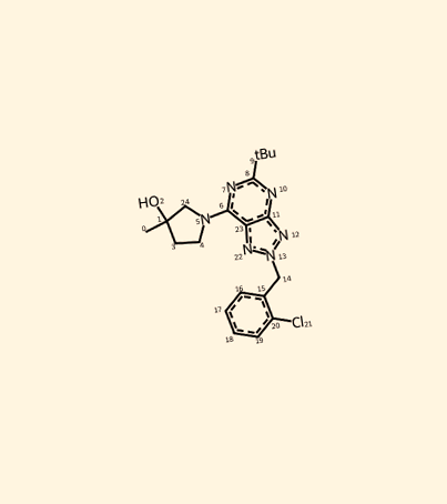 CC1(O)CCN(c2nc(C(C)(C)C)nc3nn(Cc4ccccc4Cl)nc23)C1